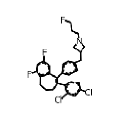 FCCCN1CC(Cc2ccc(C3=C(c4ccc(Cl)cc4Cl)CCCc4c(F)cc(F)cc43)cc2)C1